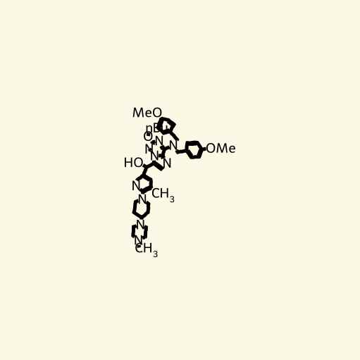 CCCCOc1nc(N(Cc2ccc(OC)cc2)Cc2ccc(OC)cc2)c2ncc(C(O)c3cnc(N4CCC(N5CCN(C)CC5)CC4)c(C)c3)n2n1